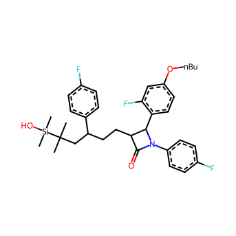 CCCCOc1ccc(C2C(CCC(CC(C)(C)[Si](C)(C)O)c3ccc(F)cc3)C(=O)N2c2ccc(F)cc2)c(F)c1